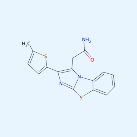 Cc1ccc(-c2nc3sc4ccccc4n3c2CC(N)=O)s1